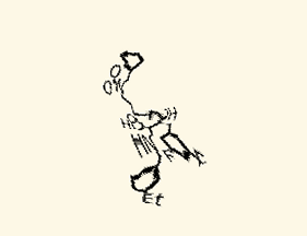 CCc1cccc(CNC[C@@H](O)[C@H](Cc2cc(F)cc(F)c2)NC(=O)CCN2Cc3ccccc3OC2=O)c1